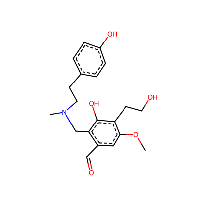 COc1cc(C=O)c(CN(C)CCc2ccc(O)cc2)c(O)c1CCO